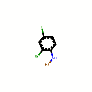 Fc1ccc(NS)c(Br)c1